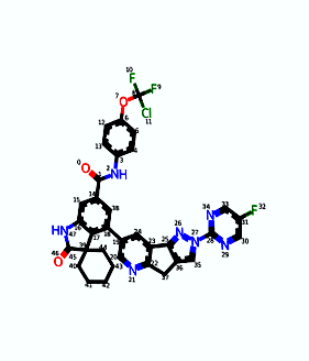 O=C(Nc1ccc(OC(F)(F)Cl)cc1)c1cc2c(c(-c3cnc4c(c3)-c3nn(-c5ncc(F)cn5)cc3C4)c1)C1(CCCCC1)C(=O)N2